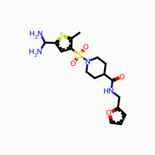 Cc1sc(C(N)N)cc1S(=O)(=O)N1CCC(C(=O)NCc2ccco2)CC1